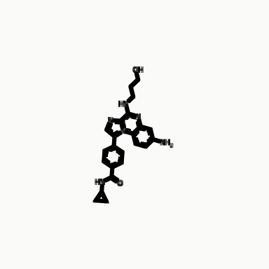 Nc1ccc2c(c1)nc(NCCCO)c1ncc(-c3ccc(C(=O)NC4CC4)cc3)n12